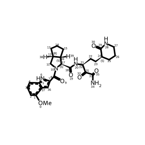 COc1cccc2[nH]c(C(=O)N3C[C@@H]4CCC[C@@H]4[C@H]3C(=O)N[C@@H](CC[C@@H]3CCCNC3=O)C(=O)C(N)=O)cc12